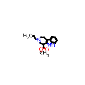 C=CCN1CCc2c([nH]c3ccccc23)C(C(=O)OC)C1